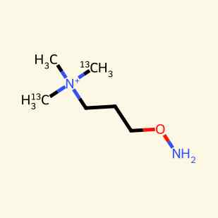 C[N+]([13CH3])([13CH3])CCCON